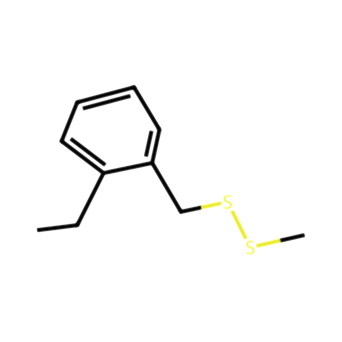 CCc1ccccc1CSSC